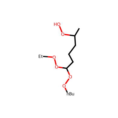 CCCCOOC(CCCC(C)OO)OOCC